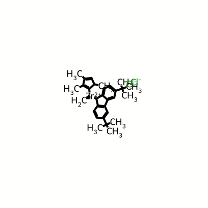 [CH2]=[Zr+2]([C]1=C(C)C(C)=CC1C)[CH]1c2ccc(C(C)(C)C)cc2-c2cc(C(C)(C)C)ccc21.[Cl-].[Cl-]